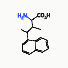 CC(c1cccc2ccccc12)C(C)C(N)C(=O)O